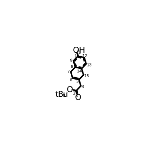 CC(C)(C)OC(=O)CC1=CCc2cc(O)ccc2C1